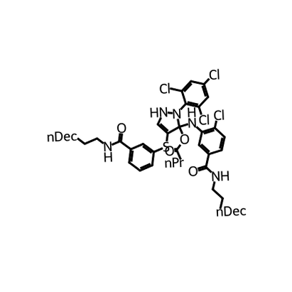 CCCCCCCCCCCCNC(=O)c1cccc(SC2=CNN(c3c(Cl)cc(Cl)cc3Cl)C2(Nc2cc(C(=O)NCCCCCCCCCCCC)ccc2Cl)OC(=O)CCC)c1